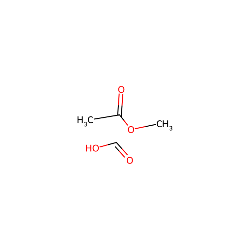 COC(C)=O.O=CO